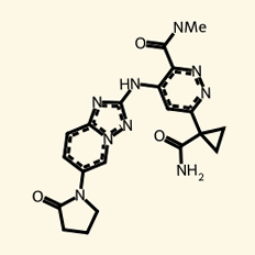 CNC(=O)c1nnc(C2(C(N)=O)CC2)cc1Nc1nc2ccc(N3CCCC3=O)cn2n1